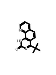 CC(C)(C)c1nc(=O)[nH]c2c1ccc1cccnc12